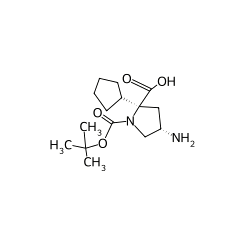 CC(C)(C)OC(=O)N1C[C@@H](N)C[C@@]1(C(=O)O)C1CCCC1